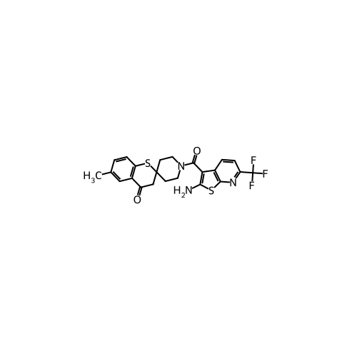 Cc1ccc2c(c1)C(=O)CC1(CCN(C(=O)c3c(N)sc4nc(C(F)(F)F)ccc34)CC1)S2